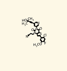 COc1cc(-c2cc3c(s2)c(=O)n(-c2cncc(C#CC(C)(C)O)c2)c(=O)n3CCC#N)c(Cl)cc1F